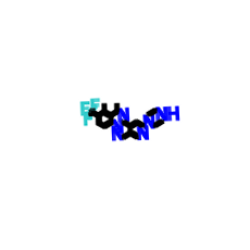 C/C(=N/c1nncc2cnc(N3CCNCC3)cc12)c1cccc(C(F)(F)F)c1C